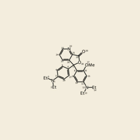 CCN(CC)c1ccc(C2(c3ccc(N(CC)CC)cc3OC)OC(=O)c3ncccc32)cc1